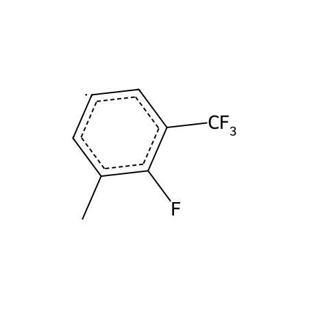 Cc1c[c]cc(C(F)(F)F)c1F